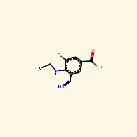 CCNc1c(F)cc(C(=O)O)cc1C=N